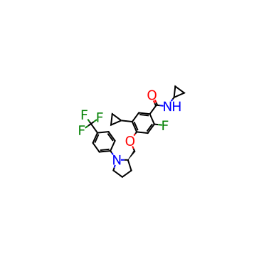 O=C(NC1CC1)c1cc(C2CC2)c(OC[C@H]2CCCN2c2ccc(C(F)(F)F)cc2)cc1F